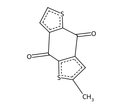 Cc1cc2c(s1)C(=O)c1ccsc1C2=O